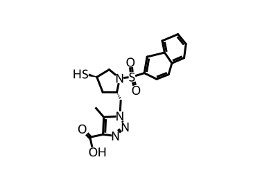 Cc1c(C(=O)O)nnn1C[C@@H]1C[C@@H](S)CN1S(=O)(=O)c1ccc2ccccc2c1